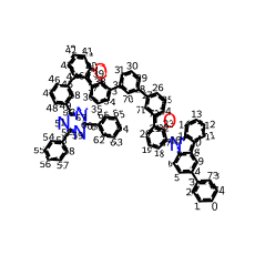 c1ccc(-c2ccc3c(c2)c2ccccc2n3-c2cccc3c2oc2ccc(-c4cccc(-c5cccc6c5oc5cccc(-c7cccc(-c8nc(-c9ccccc9)nc(-c9ccccc9)n8)c7)c56)c4)cc23)cc1